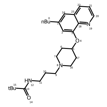 CCCCc1cc(OC2CCN(CCCNC(=O)C(C)(C)C)CC2)c2ncccc2c1